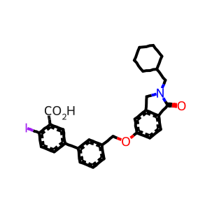 O=C(O)c1cc(-c2cccc(COc3ccc4c(c3)CN(CC3CCCCC3)C4=O)c2)ccc1I